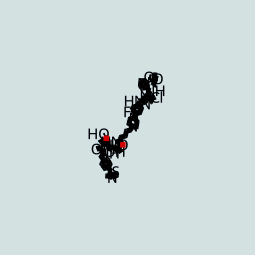 Cc1ncsc1-c1ccc(CNC(=O)[C@H]2C[C@@H](O)CN2C(O)[C@@H](NC(=O)CCCCN2CCN(c3ccc(Nc4ncc(Cl)c(Nc5ccccc5N(C)S(C)(=O)=O)n4)cc3F)CC2)C(C)(C)C)cc1